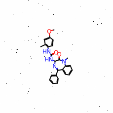 COc1ccc(NC(=O)NC2N=C(c3ccccc3)c3ccccc3N(C)C2=O)c(C)c1